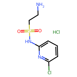 Cl.NCCS(=O)(=O)Nc1cccc(Cl)n1